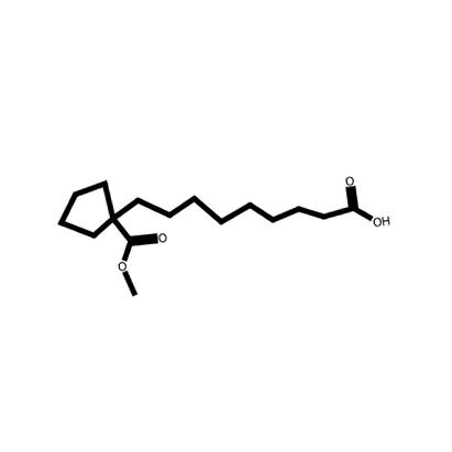 COC(=O)C1(CCCCCCCCC(=O)O)CCCC1